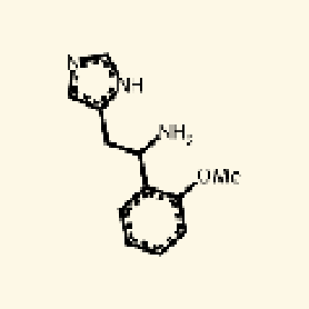 COc1ccccc1C(N)Cc1cnc[nH]1